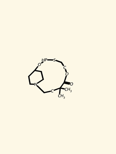 CC1(C)CCN2CCC(CC2)OPSCCOC1=O